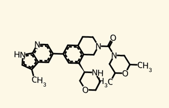 Cc1c[nH]c2ncc(-c3cc4c(c([C@@H]5COCCN5)c3)CN(C(=O)N3CC(C)OC(C)C3)CC4)cc12